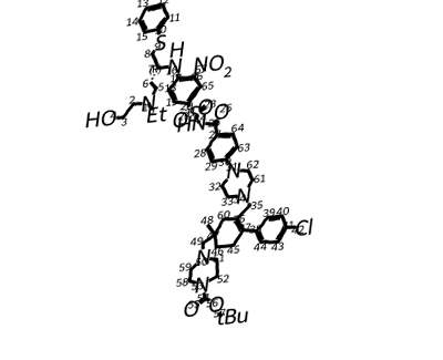 CCN(CCO)CC[C@H](CSc1ccccc1)Nc1ccc(S(=O)(=O)NC(=O)c2ccc(N3CCN(CC4=C(c5ccc(Cl)cc5)CCC(C)(CN5CCN(C(=O)OC(C)(C)C)CC5)C4)CC3)cc2)cc1[N+](=O)[O-]